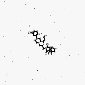 CCCCOC(CN1CCN(c2cccc(Cl)c2)CC1)CN1C(=O)C2C3CC[C@@H](C3)[C@@H]2C1=O